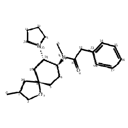 CC1CO[C@]2(CC[C@H](N(C)C(=O)Cc3ccccc3)[C@@H](N3CCCC3)C2)C1